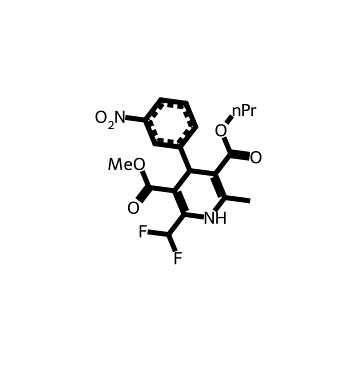 CCCOC(=O)C1=C(C)NC(C(F)F)=C(C(=O)OC)C1c1cccc([N+](=O)[O-])c1